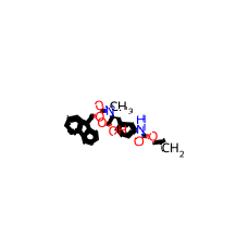 C=CCOC(=O)Nc1cccc(C[C@@H](C(=O)O)N(C)C(=O)OCC2c3ccccc3-c3ccccc32)c1